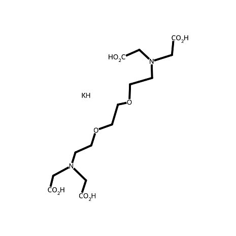 O=C(O)CN(CCOCCOCCN(CC(=O)O)CC(=O)O)CC(=O)O.[KH]